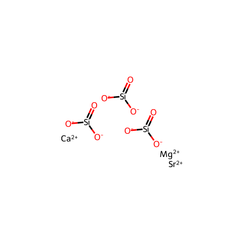 O=[Si]([O-])[O-].O=[Si]([O-])[O-].O=[Si]([O-])[O-].[Ca+2].[Mg+2].[Sr+2]